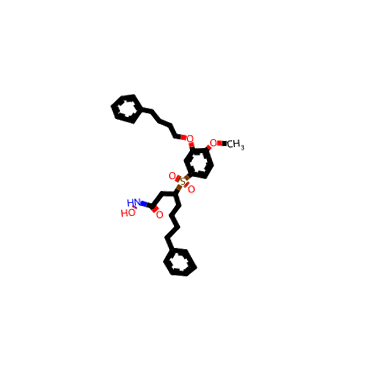 COc1ccc(S(=O)(=O)C(CCCCc2ccccc2)CC(=O)NO)cc1OCCCCc1ccccc1